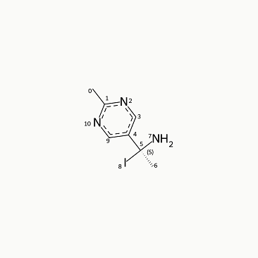 Cc1ncc([C@@](C)(N)I)cn1